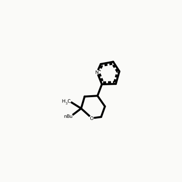 CCCCC1(C)CC(c2ccccn2)CCO1